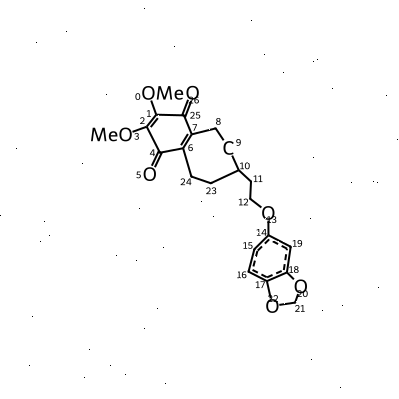 COC1=C(OC)C(=O)C2=C(CCC(CCOc3ccc4c(c3)OCO4)CC2)C1=O